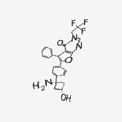 N[C@]1(c2ccc(-c3oc4ncn(CC(F)(F)F)c(=O)c4c3-c3ccccc3)cc2)C[C@H](O)C1